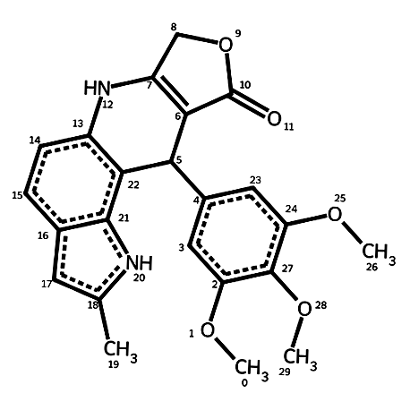 COc1cc(C2C3=C(COC3=O)Nc3ccc4cc(C)[nH]c4c32)cc(OC)c1OC